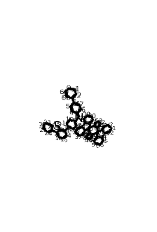 c1ccc(-c2ccc(N(c3ccc(-c4cccc5c4sc4ccccc45)cc3)c3cccc4c3-c3ccccc3C43c4ccccc4C4(c5ccccc5-c5ccccc54)c4ccccc43)cc2)cc1